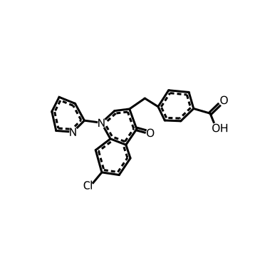 O=C(O)c1ccc(Cc2cn(-c3ccccn3)c3cc(Cl)ccc3c2=O)cc1